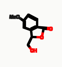 COc1ccc2c(c1)C(CO)OC2=O